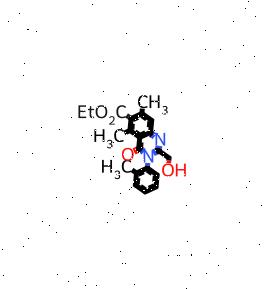 CCOC(=O)c1c(C)cc2nc(CO)n(-c3ccccc3C)c(=O)c2c1C